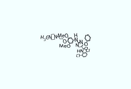 COc1cc(Nc2ncc(C(=O)Nc3c(Cl)cccc3Cl)c(Oc3ccccc3)n2)cc(OC)c1OCCCN1CCN(C)CC1